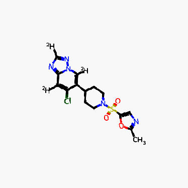 [2H]c1nc2c([2H])c(Cl)c(C3CCN(S(=O)(=O)c4cnc(C)o4)CC3)c([2H])n2n1